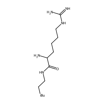 CCC(C)CCNC(=O)C(N)CCCCNC(=N)N